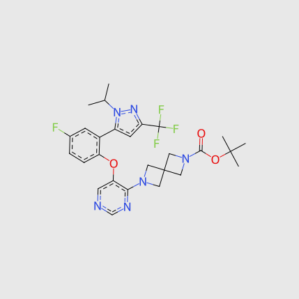 CC(C)n1nc(C(F)(F)F)cc1-c1cc(F)ccc1Oc1cncnc1N1CC2(CN(C(=O)OC(C)(C)C)C2)C1